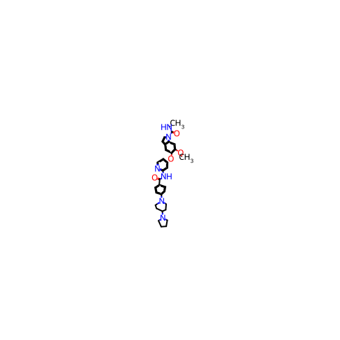 CNC(=O)n1ccc2cc(Oc3ccnc(NC(=O)c4ccc(N5CCC(N6CCCC6)CC5)cc4)c3)c(OC)cc21